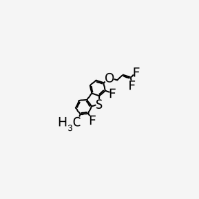 Cc1ccc2c(sc3c(F)c(OCC=C(F)F)ccc32)c1F